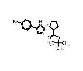 CC(C)(C)OC(=O)C1CCC[C@H]1c1ncc(-c2ccc(Br)cc2)[nH]1